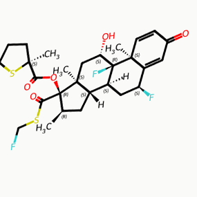 C[C@@H]1C[C@H]2[C@@H]3C[C@H](F)C4=CC(=O)C=C[C@]4(C)[C@@]3(F)[C@@H](O)C[C@]2(C)[C@@]1(OC(=O)[C@]1(C)CCCS1)C(=O)SCF